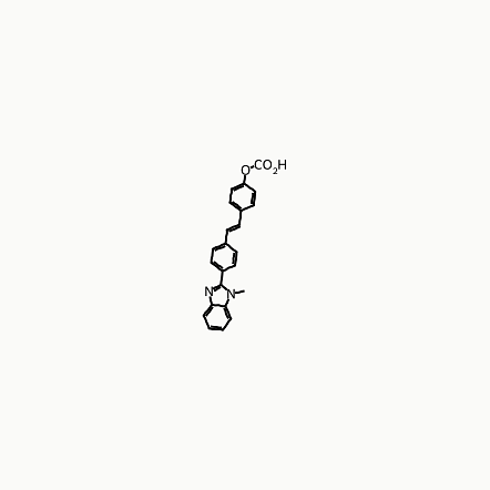 Cn1c(-c2ccc(C=Cc3ccc(OC(=O)O)cc3)cc2)nc2ccccc21